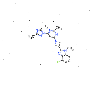 Cc1nc(N2CC(c3nc4c(F)cccc4n3C)C2)cc(-n2nc(C)nc2C)n1